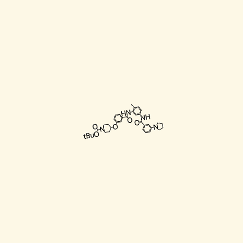 Cc1ccc(NC(=O)c2cccc(N3CCCC3)c2)cc1NC(=O)c1cccc(OC2CCN(C(=O)OC(C)(C)C)CC2)c1